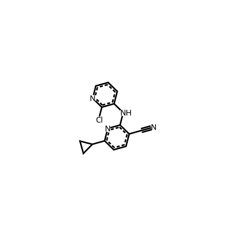 N#Cc1ccc(C2CC2)nc1Nc1cccnc1Cl